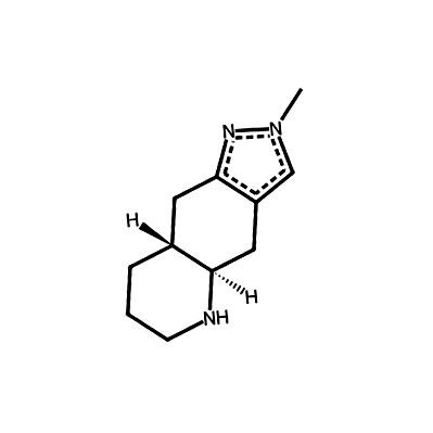 Cn1cc2c(n1)C[C@H]1CCCN[C@@H]1C2